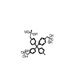 C=P(O)(O)Cc1ccc(C(c2ccc(C)cc2)(c2ccc(CP(=O)(O)O)cc2)c2ccc(CP(=O)(O)O)cc2)cc1